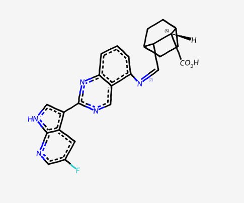 O=C(O)[C@H]1C2CCC(CC2)C1/C=N\c1cccc2nc(-c3c[nH]c4ncc(F)cc34)ncc12